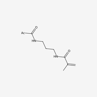 C=C(C)C(=O)NCCCNC(=O)C(C)=O